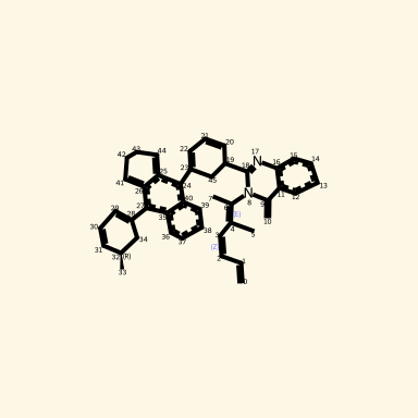 C=C/C=C\C(C)=C(/C)N1C(=C)c2ccccc2N=C1C1C=CC=C(c2c3c(c(C4=CC=C[C@H](C)C4)c4ccccc24)=CCCC=3)C1